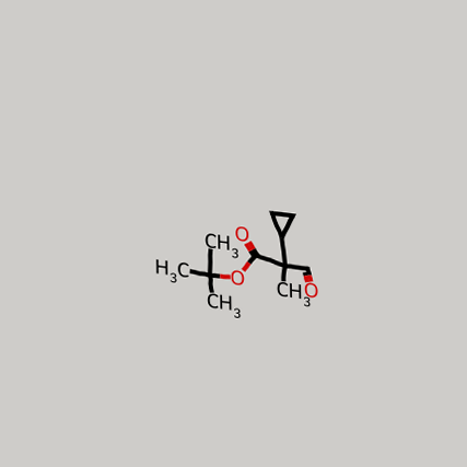 CC(C)(C)OC(=O)C(C)(C=O)C1CC1